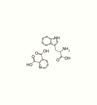 NC(Cc1c[nH]c2ccccc12)C(=O)O.O=C(O)c1cccnc1C(=O)O